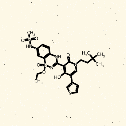 CCOP1(=O)N=C(c2c(O)c(-c3ccsc3)cn(CCC(C)(C)C)c2=O)Nc2ccc(NS(C)(=O)=O)cc21